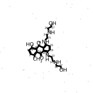 Cc1ccc(O)c2c1C(=O)c1c(NCCNCCO)ccc(NCCNCCO)c1C2=O